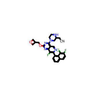 N#CCC1CN(c2nc(OCC3COC3)nc3c(F)c(-c4cccc5ccc(F)c(Cl)c45)ncc23)CCN1